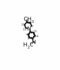 C=Nc1ccc(N2CC=C(C)CC2)cc1